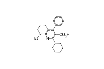 CCN1CCCc2c1nc(C1CCCCC1)c(C(=O)O)c2-c1ccccc1